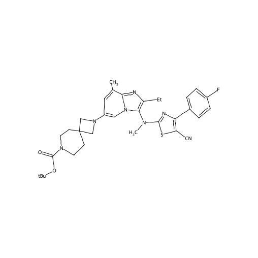 CCc1nc2c(C)cc(N3CC4(CCN(C(=O)OC(C)(C)C)CC4)C3)cn2c1N(C)c1nc(-c2ccc(F)cc2)c(C#N)s1